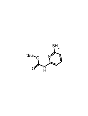 Bc1cccc(NC(=O)OC(C)(C)C)n1